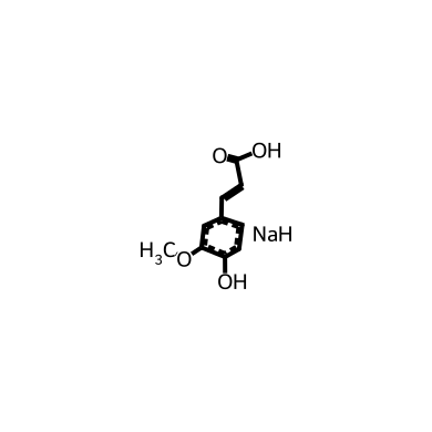 COc1cc(C=CC(=O)O)ccc1O.[NaH]